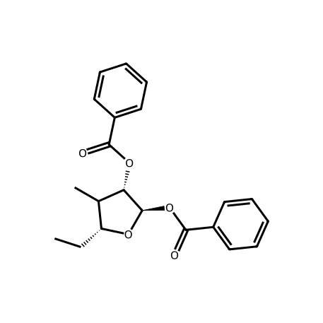 CC[C@H]1O[C@H](OC(=O)c2ccccc2)[C@@H](OC(=O)c2ccccc2)C1C